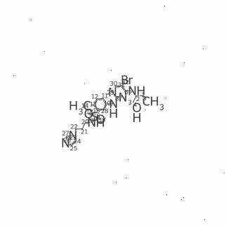 CCC(CO)Nc1nc(Nc2ccc(C)c(S(=O)(=O)NCCCn3ccnc3)c2)ncc1Br